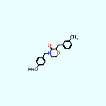 COc1ccc(CN2CCOC(Cc3cccc(C)c3)C2=O)cc1